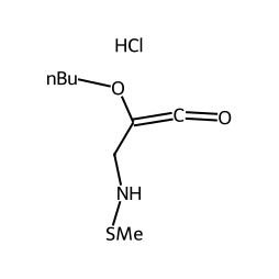 CCCCOC(=C=O)CNSC.Cl